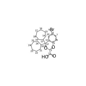 O=C(O)C1Oc2ccc(Br)cc2C(C2CCCCCC2)(C2CCCCCC2)O1